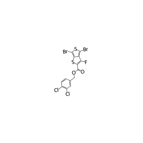 O=C(OCc1ccc(Cl)c(Cl)c1)c1sc2c(Br)sc(Br)c2c1F